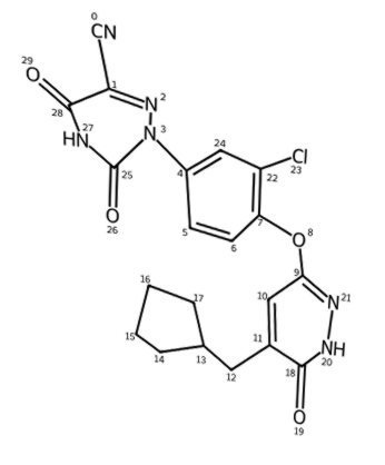 N#Cc1nn(-c2ccc(Oc3cc(CC4CCCC4)c(=O)[nH]n3)c(Cl)c2)c(=O)[nH]c1=O